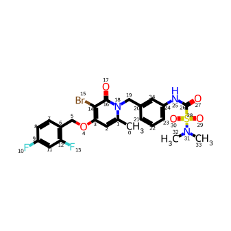 Cc1cc(OCc2ccc(F)cc2F)c(Br)c(=O)n1Cc1cccc(NC(=O)S(=O)(=O)N(C)C)c1